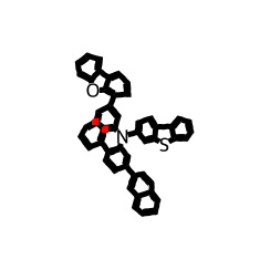 c1ccc(-c2ccc(-c3ccc4ccccc4c3)cc2N(c2cccc(-c3cccc4c3oc3ccccc34)c2)c2ccc3c(c2)sc2ccccc23)cc1